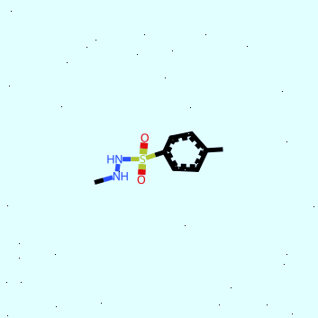 CNNS(=O)(=O)c1ccc(C)cc1